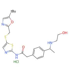 CC(NCCO)c1ccc(CC(=O)Nc2ncc(SCc3ncc(C(C)(C)C)o3)s2)cc1.Cl